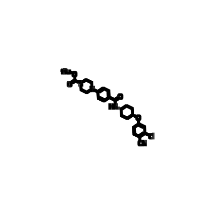 CC(C)(C)OC(=O)N1CCN(c2ccc(C(=O)N[C@H]3CC[C@H](Oc4ccc(C#N)c(Cl)c4)CC3)cc2)CC1